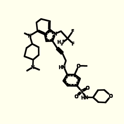 COc1cc(S(=O)(=O)NC2CCOCC2)ccc1NCC#Cc1cc2c(n1CC(F)(F)P)=CCCC=2N(C)C1CCC(N(C)C)CC1